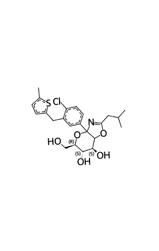 Cc1ccc(Cc2cc(C34N=C(CC(C)C)OC3[C@@H](O)[C@H](O)[C@@H](CO)O4)ccc2Cl)s1